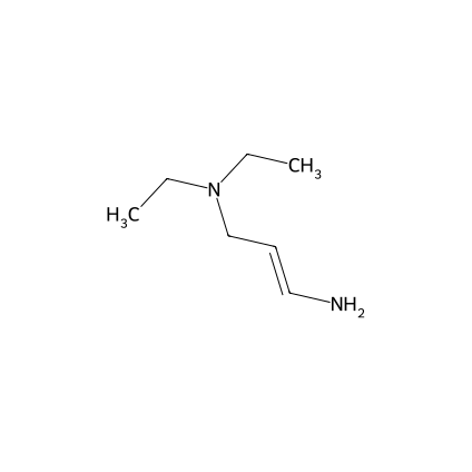 CCN(CC)CC=CN